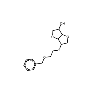 OC1COC2C(OCCOCc3ccccc3)COC12